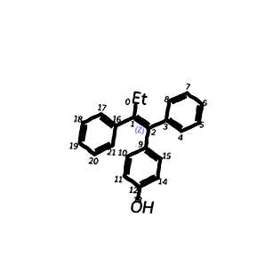 CC/C(=C(\c1ccccc1)c1ccc(O)cc1)c1ccccc1